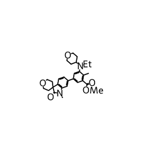 CCN(c1cc(-c2ccc3c(c2)N(C)C(=O)C32CCOCC2)cc(C(=O)OC)c1C)C1CCOCC1